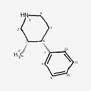 C[C@@H]1CNCC[C@@H]1c1ccccc1